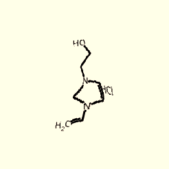 C=CN1C=CN(CCO)C1.Cl